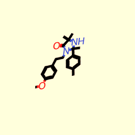 COc1ccc(CCN2C(=O)C(C)(C)NC2(C)c2ccc(C)cc2)cc1